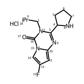 CC(C)Cn1c(C2CCCN2)nc2cc(F)cn2c1=O.Cl